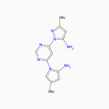 CCCCc1cc(N)n(-c2cc(-n3nc(CCCC)cc3N)ncn2)c1